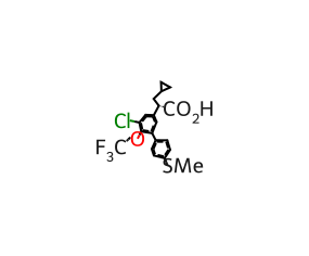 CSc1ccc(-c2cc([C@H](CC3CC3)C(=O)O)cc(Cl)c2OCC(F)(F)F)cc1